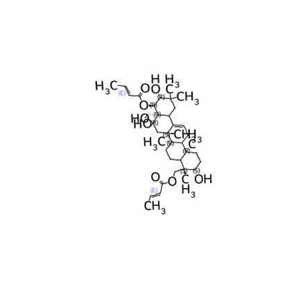 C/C=C/C(=O)OC[C@]1(C)C2CC[C@]3(C)C(CC=C4C5CC(C)(C)[C@@H](O)[C@H](OC(=O)/C=C/C)[C@]5(CO)[C@H](O)C[C@]43C)[C@@]2(C)CC[C@@H]1O